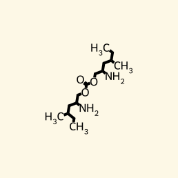 CCC(C)CC(N)COC(=O)OCC(N)CC(C)CC